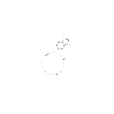 C/C1=C/C[C@@H](c2ccc3c(c2)nc(C)n3C)OC(=O)CCC(C)(C)C(=O)[C@H](C)[C@@H](C)[C@@H](C)CCC1